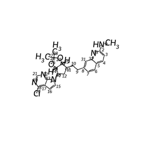 CNc1ccc2ccc(CC[C@H]3C[C@@H](n4ccc5c(Cl)ncnc54)[C@@H]4OC(C)(C)O[C@H]34)cc2n1